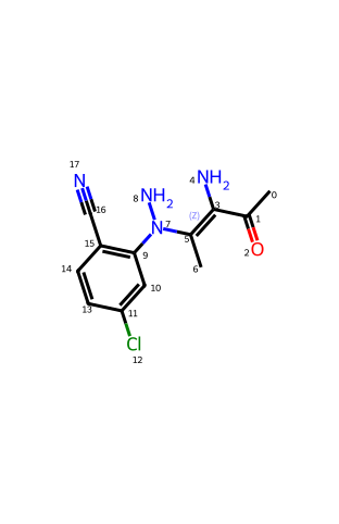 CC(=O)/C(N)=C(\C)N(N)c1cc(Cl)ccc1C#N